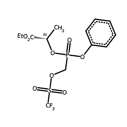 CCOC(=O)[C@H](C)OP(=O)(COS(=O)(=O)C(F)(F)F)Oc1ccccc1